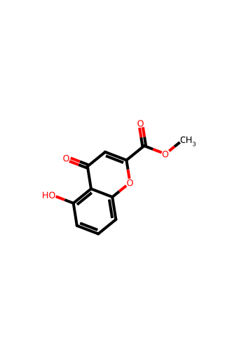 COC(=O)c1cc(=O)c2c(O)cccc2o1